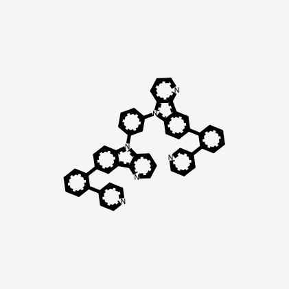 c1cncc(-c2ccccc2-c2ccc3c(c2)c2ncccc2n3-c2cccc(-n3c4ccc(-c5ccccc5-c5ccncc5)cc4c4ncccc43)c2)c1